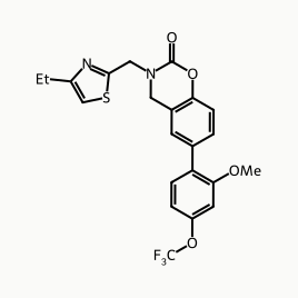 CCc1csc(CN2Cc3cc(-c4ccc(OC(F)(F)F)cc4OC)ccc3OC2=O)n1